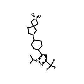 CC(C)n1nc(C(F)(F)F)cc1C1CCC(N2CCC3(C2)CS(=O)(=O)C3)CC1